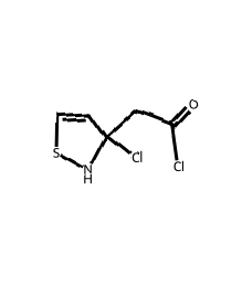 O=C(Cl)CC1(Cl)C=CSN1